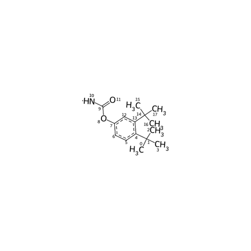 CC(C)(C)c1ccc(OC([NH])=O)cc1C(C)(C)C